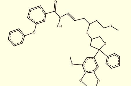 COCCC(CC=CN(O)C(=O)c1cccc(Oc2ccccc2)c1)OC1COC(c2ccccc2)(c2cc(OC)c(OC)c(OC)c2)C1